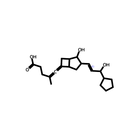 CC(=C=C1CC2C1CC(/C=C/C(O)C1CCCC1)C2O)CCC(=O)O